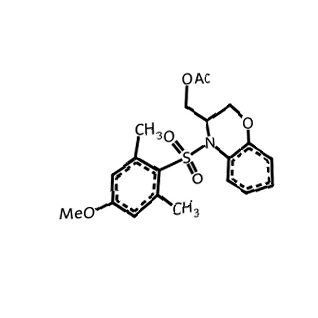 COc1cc(C)c(S(=O)(=O)N2c3ccccc3OCC2COC(C)=O)c(C)c1